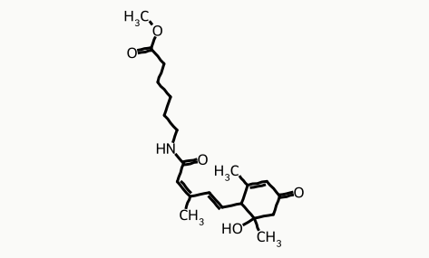 COC(=O)CCCCCNC(=O)/C=C(C)\C=C\C1C(C)=CC(=O)CC1(C)O